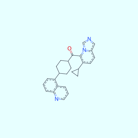 O=C(c1c(C2CC2)ccc2cncn12)C1CCC(c2cccc3ncccc23)CC1